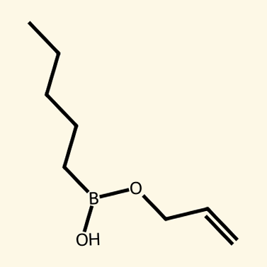 C=CCOB(O)CCCCC